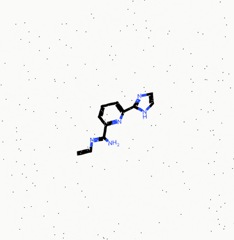 C=C/N=C(\N)c1cccc(-c2ncc[nH]2)n1